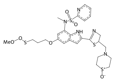 COOSCCCOc1cc(N(C)S(=O)(=O)c2ccccn2)c2[nH]c(C3=NCC(CN4CC[S+]([O-])CC4)S3)cc2c1